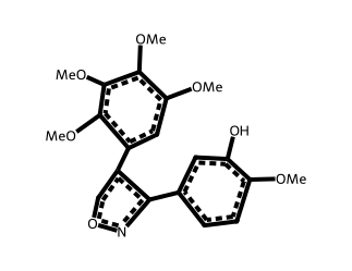 COc1ccc(-c2nocc2-c2cc(OC)c(OC)c(OC)c2OC)cc1O